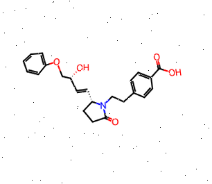 O=C(O)c1ccc(CCN2C(=O)CC[C@@H]2C=C[C@@H](O)COc2ccccc2)cc1